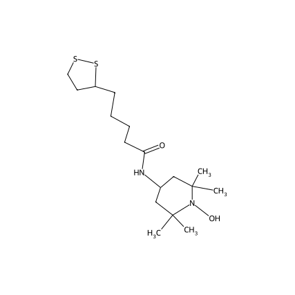 CC1(C)CC(NC(=O)CCCCC2CCSS2)CC(C)(C)N1O